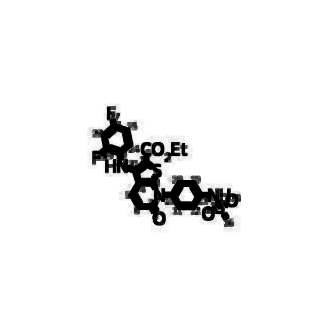 CCOC(=O)c1sc2c(ccc(=O)n2-c2ccc(NS(C)(=O)=O)cc2)c1Nc1ccc(F)cc1F